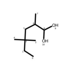 CCC(C)(C)CC(C)C(O)O